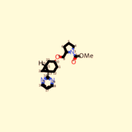 COC(=O)N1CCCC1CO[C@@H]1CC[C@]2(c3ncccn3)C[C@@H]2C1